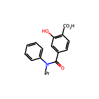 CC(C)N(C(=O)c1ccc(C(=O)O)c(O)c1)c1ccccc1